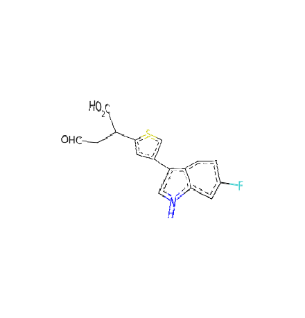 O=CCC(C(=O)O)c1cc(-c2c[nH]c3cc(F)ccc23)cs1